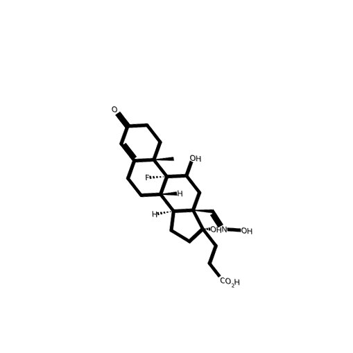 C[C@]12CCC(=O)C=C1CC[C@H]1[C@@H]3CC[C@](O)(CCC(=O)O)[C@@]3(C=NO)CC(O)[C@@]12F